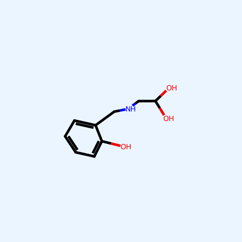 Oc1ccccc1CNCC(O)O